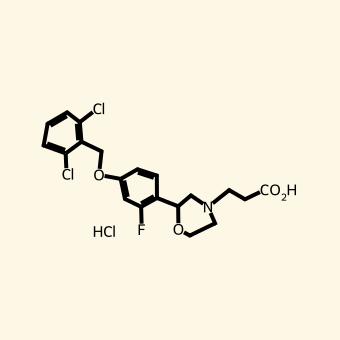 Cl.O=C(O)CCN1CCOC(c2ccc(OCc3c(Cl)cccc3Cl)cc2F)C1